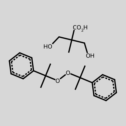 CC(C)(OOC(C)(C)c1ccccc1)c1ccccc1.CC(CO)(CO)C(=O)O